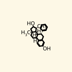 C[C@@H]1[C@H]2[C@H]3[C@H](CC[C@]2(C)C[C@H]1O)c1ccc(O)cc1C[C@H]3c1ccccc1